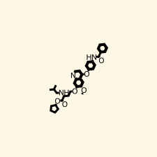 COc1cc2c(Oc3ccc(NC(=O)c4ccccc4)cc3)ccnc2cc1OCCC(NCC(C)C)C(=O)OC1CCCC1